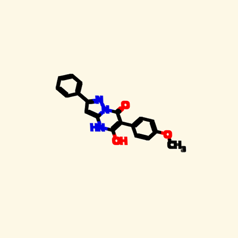 COc1ccc(-c2c(O)[nH]c3cc(-c4ccccc4)nn3c2=O)cc1